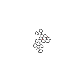 CC1(c2ccccc2)c2ccccc2-c2c(N(c3ccc4c(ccc5ccccc54)c3)c3ccccc3-c3ccc4c(c3)c(-c3ccccc3)c(-c3ccccc3)c3ccccc34)cccc21